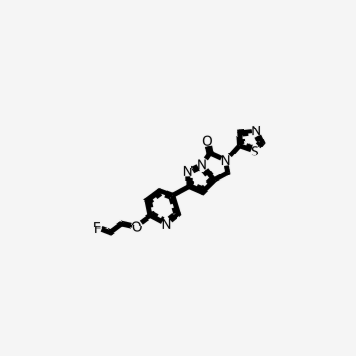 O=C1N(c2cncs2)Cc2cc(-c3ccc(OCCF)nc3)nn21